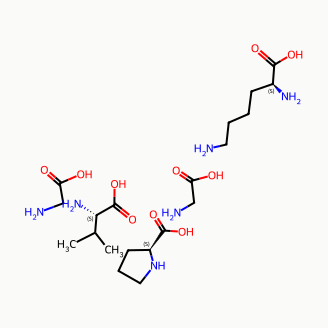 CC(C)[C@H](N)C(=O)O.NCC(=O)O.NCC(=O)O.NCCCC[C@H](N)C(=O)O.O=C(O)[C@@H]1CCCN1